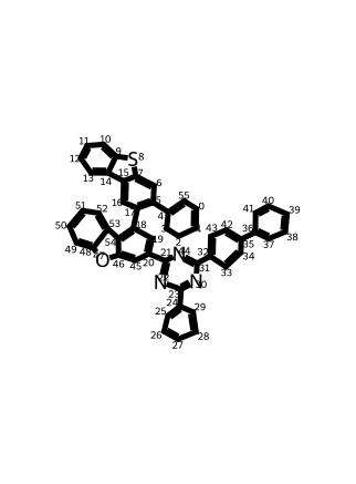 C1=CCCC(c2cc3sc4ccccc4c3cc2-c2cc(-c3nc(-c4ccccc4)nc(-c4ccc(-c5ccccc5)cc4)n3)cc3oc4ccccc4c23)=C1